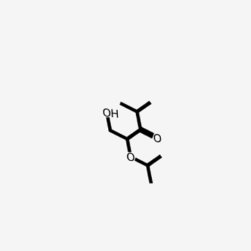 CC(C)OC(CO)C(=O)C(C)C